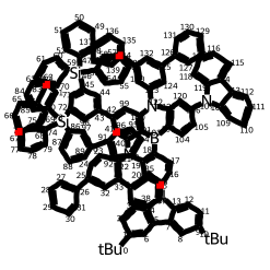 CC(C)(C)c1ccc2c(c1)c1cc(C(C)(C)C)ccc1n2-c1ccc2c(c1)N(c1ccc(-c3ccccc3)cc1-c1ccccc1)c1cc(-c3cc([Si](c4ccccc4)(c4ccccc4)c4cccc(-c5ccccc5)c4)cc([Si](c4ccccc4)(c4ccccc4)c4cccc(-c5ccccc5)c4)c3)cc3c1B2c1ccc(-n2c4ccccc4c4ccccc42)cc1N3c1cc(-c2ccccc2)cc(-c2ccccc2)c1